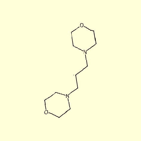 [CH](CN1CCOCC1)CN1CCOCC1